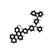 Cc1ccc2c(-c3cccc4ccccc34)c3ccccc3c(-c3ccc(-c4ccc(N(c5ccccc5)c5ccc(-n6c7ccccc7c7ccccc76)cc5)cc4)cc3)c2c1